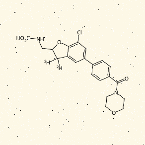 [2H]C1([2H])c2cc(-c3ccc(C(=O)N4CCOCC4)cc3)cc(Cl)c2OC1CNC(=O)O